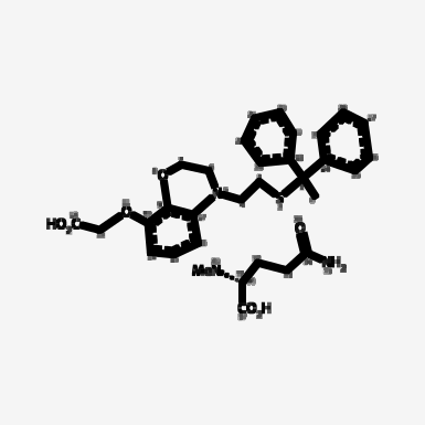 CC(SCCN1CCOc2c(OCC(=O)O)cccc21)(c1ccccc1)c1ccccc1.CN[C@H](CCC(N)=O)C(=O)O